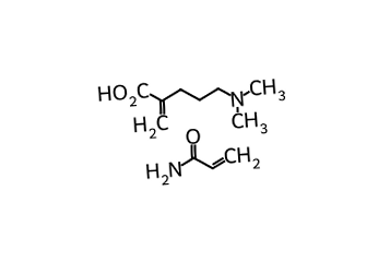 C=C(CCCN(C)C)C(=O)O.C=CC(N)=O